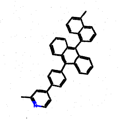 Cc1cc(-c2ccc(-c3c4ccccc4c(-c4cccc5c(C)cccc45)c4ccccc34)cc2)ccn1